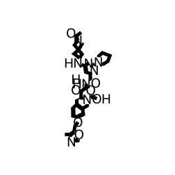 CC(=O)N1CC2(CC(Nc3cc(C(=O)NC[C@@H](O)[C@@H]4Cc5ccc(OCc6ocnc6C)cc5CN4C(=O)O)nc(N4CCCCC4)n3)C2)C1